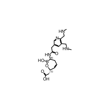 CNCc1cc(CC(=O)N[C@H]2CC=C[C@H](CC(=O)O)OB2O)cnc1CNC